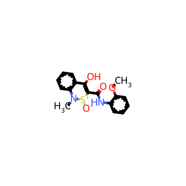 COc1ccccc1NC(=O)C1=C(O)c2ccccc2N(C)[S+]1[O-]